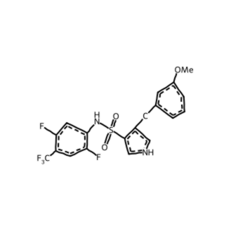 COc1cccc(Cc2c[nH]cc2S(=O)(=O)Nc2cc(F)c(C(F)(F)F)cc2F)c1